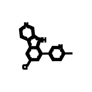 Cc1ccc(-c2cc(Cl)cc3c2[nH]c2cnccc23)cn1